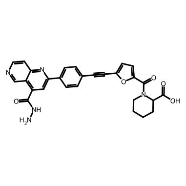 NNC(=O)c1cc(-c2ccc(C#Cc3ccc(C(=O)N4CCCCC4C(=O)O)o3)cc2)nc2ccncc12